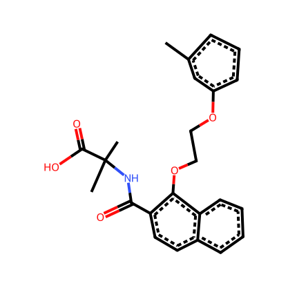 Cc1cccc(OCCOc2c(C(=O)NC(C)(C)C(=O)O)ccc3ccccc23)c1